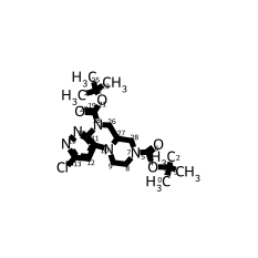 CC(C)(C)OC(=O)N1CCN2c3cc(Cl)nnc3N(C(=O)OC(C)(C)C)CC2C1